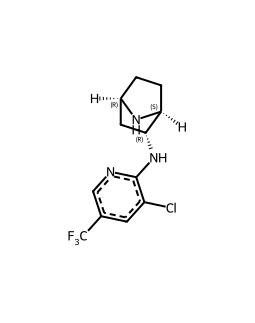 FC(F)(F)c1cnc(N[C@@H]2C[C@H]3CC[C@@H]2N3)c(Cl)c1